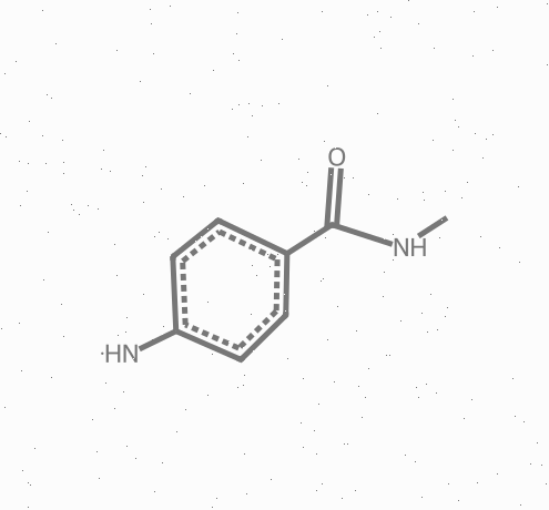 CNC(=O)c1ccc([NH])cc1